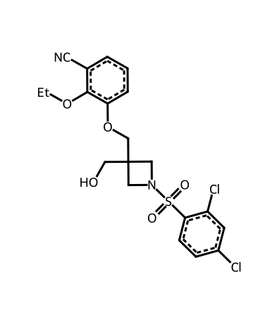 CCOc1c(C#N)cccc1OCC1(CO)CN(S(=O)(=O)c2ccc(Cl)cc2Cl)C1